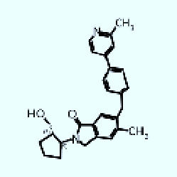 Cc1cc(-c2ccc(Cc3cc4c(cc3C)CN([C@H]3CCC[C@@H]3CO)C4=O)cc2)ccn1